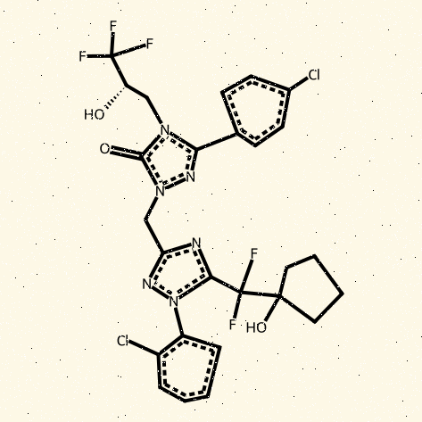 O=c1n(Cc2nc(C(F)(F)C3(O)CCCC3)n(-c3ccccc3Cl)n2)nc(-c2ccc(Cl)cc2)n1C[C@H](O)C(F)(F)F